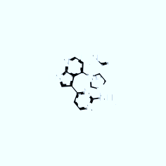 NC(=O)[C@@H]1CSCN1c1ccnc2[nH]cc(-c3ccnc(N)n3)c12